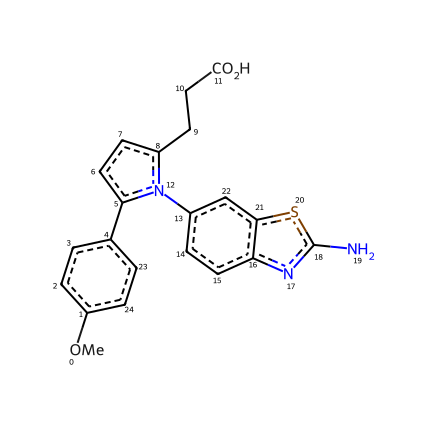 COc1ccc(-c2ccc(CCC(=O)O)n2-c2ccc3nc(N)sc3c2)cc1